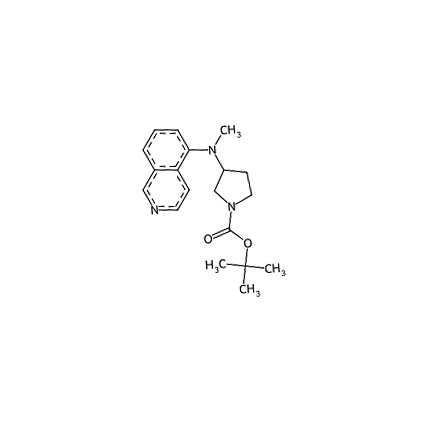 CN(c1cccc2cnccc12)C1CCN(C(=O)OC(C)(C)C)C1